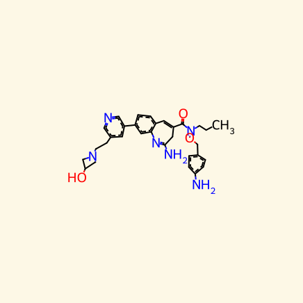 CCCN(OCc1ccc(N)cc1)C(=O)C1=Cc2ccc(-c3cncc(CCN4CC(O)C4)c3)cc2N=C(N)C1